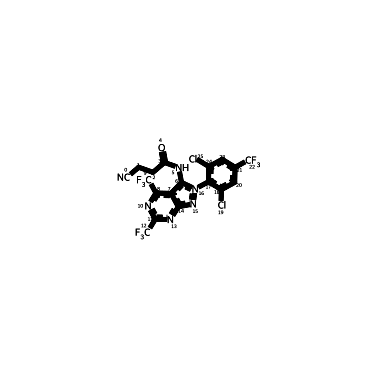 N#CCCC(=O)Nc1c2c(C(F)(F)F)nc(C(F)(F)F)nc2nn1-c1c(Cl)cc(C(F)(F)F)cc1Cl